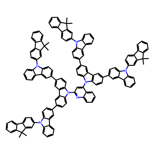 CC1(C)c2ccccc2-c2ccc(-n3c4ccccc4c4cc(-c5ccc6c(c5)c5cc(-c7ccc8c(c7)c7ccccc7n8-c7ccc8c(c7)C(C)(C)c7ccccc7-8)ccc5n6-c5cc(-n6c7ccc(-c8ccc9c(c8)c8ccccc8n9-c8ccc9c(c8)C(C)(C)c8ccccc8-9)cc7c7cc(-c8ccc9c(c8)c8ccccc8n9-c8ccc9c(c8)C(C)(C)c8ccccc8-9)ccc76)c6ccccc6n5)ccc43)cc21